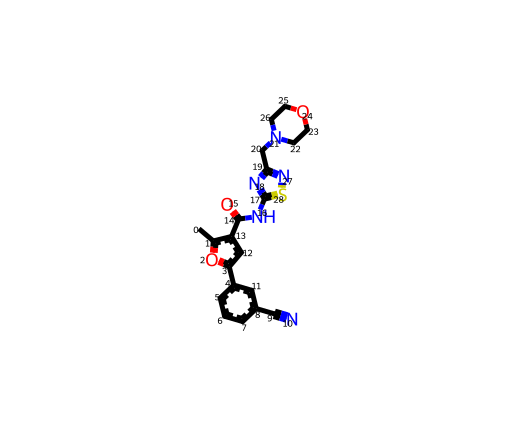 Cc1oc(-c2cccc(C#N)c2)cc1C(=O)Nc1nc(CN2CCOCC2)ns1